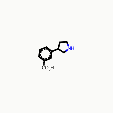 O=C(O)c1cccc(C2CCNC2)c1